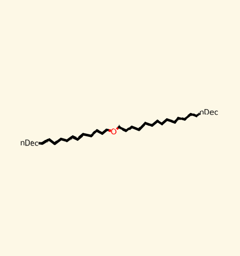 CCCCCCCCCCCCCCCCCCCCCCC[CH]OCCCCCCCCCCCCCCCCCCCCCC